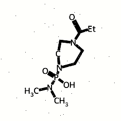 CCC(=O)N1CCN(P(=O)(O)N(C)C)CC1